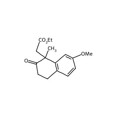 CCOC(=O)CC1(C)C(=O)CCc2ccc(OC)cc21